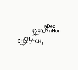 C=C(/C=C\C)CC(C)CN(CCCCCCCCC)CCCN(CCCCCCCCC)CCCCCCCCCC